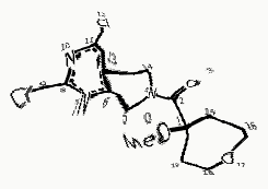 COC1(C(=O)N2Cc3nc(Cl)nc(Cl)c3C2)CCOCC1